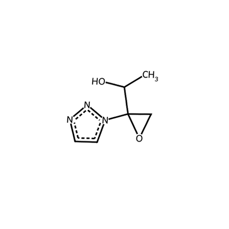 CC(O)C1(n2ccnn2)CO1